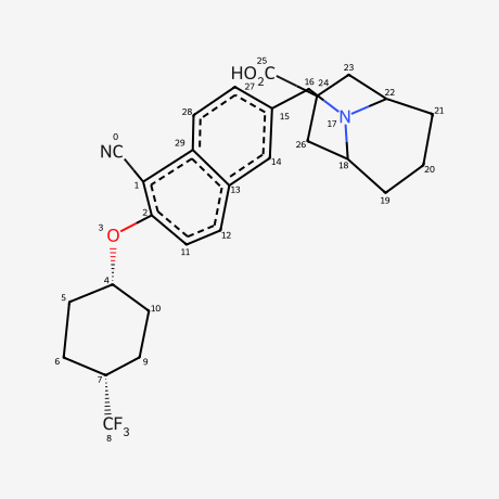 N#Cc1c(O[C@H]2CC[C@@H](C(F)(F)F)CC2)ccc2cc(CN3C4CCCC3CC(C(=O)O)C4)ccc12